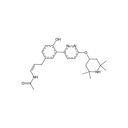 CC(=O)N/C=C\Cc1ccc(O)c(-c2ccc(OC3CC(C)(C)NC(C)(C)C3)nn2)c1